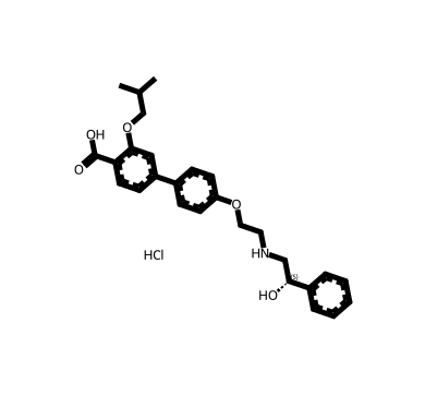 CC(C)COc1cc(-c2ccc(OCCNC[C@@H](O)c3ccccc3)cc2)ccc1C(=O)O.Cl